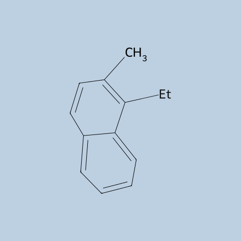 [CH2]Cc1c(C)ccc2ccccc12